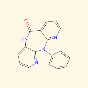 O=C1Nc2cccnc2N(c2ccccc2)c2ncccc21